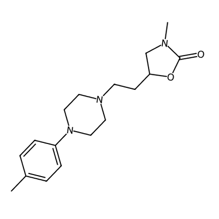 Cc1ccc(N2CCN(CCC3CN(C)C(=O)O3)CC2)cc1